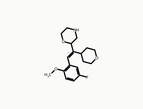 COc1ccc(F)cc1/C=C(\C1CCOCC1)C1CNCCO1